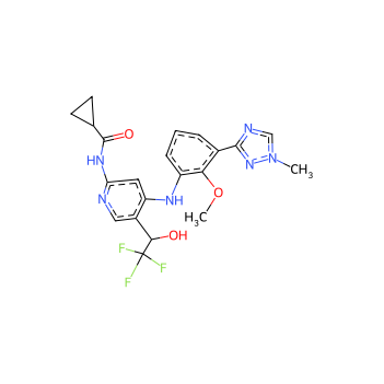 COc1c(Nc2cc(NC(=O)C3CC3)ncc2C(O)C(F)(F)F)cccc1-c1ncn(C)n1